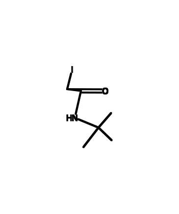 CC(C)(C)NC(=O)CI